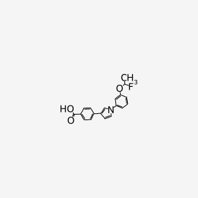 CC(F)Oc1cccc(-n2ccc(-c3ccc(C(=O)O)cc3)c2)c1